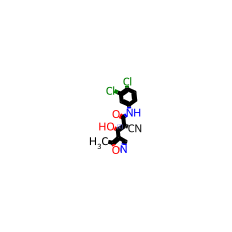 Cc1oncc1/C(O)=C(\C#N)C(=O)Nc1ccc(Cl)c(Cl)c1